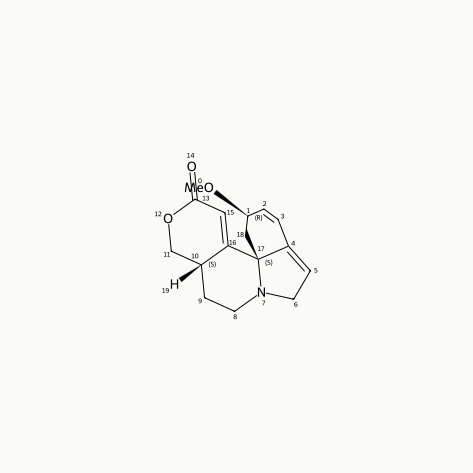 CO[C@H]1C=CC2=CCN3CC[C@@H]4COC(=O)C=C4[C@]23C1